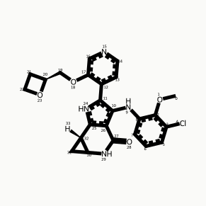 COc1c(Cl)cccc1Nc1c(-c2ccncc2OC[C@@H]2CCO2)[nH]c2c1C(=O)NC1C[C@H]21